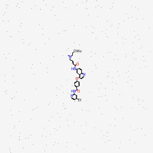 CCc1ccnc(NC(=O)c2ccc(Oc3ccnc4ccc(NC(=O)/C=C/CN(C)CCOC)cc34)cc2)c1